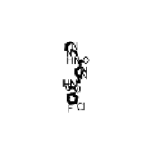 O=C(NCc1ncccn1)c1ccc(CNS(=O)(=O)c2ccc(F)c(Cl)c2)nn1